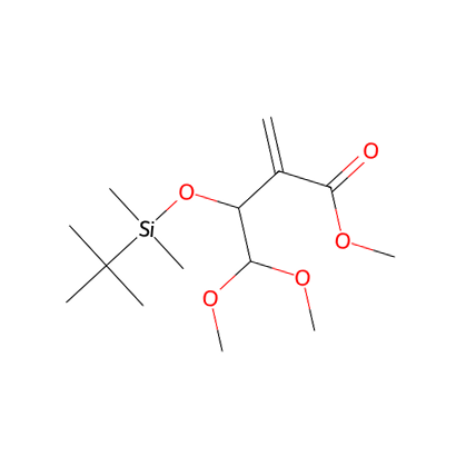 C=C(C(=O)OC)C(O[Si](C)(C)C(C)(C)C)C(OC)OC